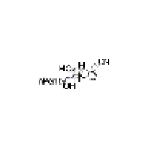 CCCCC[C@H](O)/C=C/[C@@H]1[C@H]2Cc3cccc(OCC#N)c3C[C@H]2C[C@H]1O